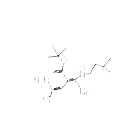 CC(C)CCN/C(N)=C(/C=C(\N)Cl)C(=O)OC(C)(C)C